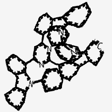 c1ccc(-n2c3ccccc3c3cccc(-c4cc(-c5cccc6c7ccccc7n(-c7ccccc7)c56)nc(-c5cccc6c7ccccc7n(-c7ccccc7)c56)n4)c32)cc1